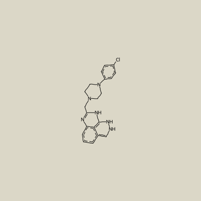 Clc1ccc(N2CCN(CC3=Nc4cccc5c4=C(NNC=5)N3)CC2)cc1